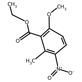 CCOC(=O)c1c(OC)ccc([N+](=O)[O-])c1C